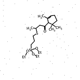 CCO[Si](CCCSC(C)CC(=O)C1C(C)=CCCC1(C)C)(OCC)OCC